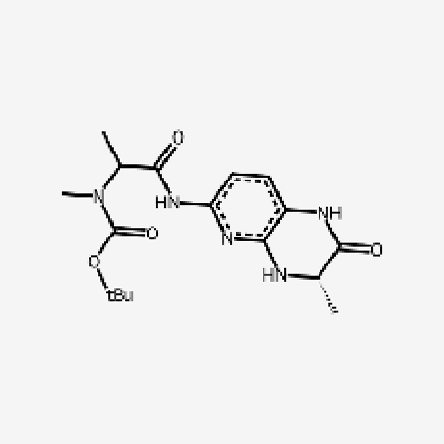 CC(C(=O)Nc1ccc2c(n1)N[C@@H](C)C(=O)N2)N(C)C(=O)OC(C)(C)C